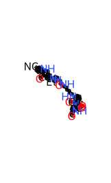 CCc1cc2c(cc1N1CCN(CC(=O)NCCCCCCNc3cccc4c(=C=O)n(C5CCC(=C=O)NC5=C=O)c(=C=O)c34)CC1)C(C)(C)c1[nH]c3cc(C#N)ccc3c1C2=C=O